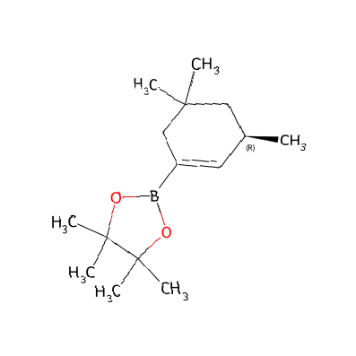 C[C@H]1C=C(B2OC(C)(C)C(C)(C)O2)CC(C)(C)C1